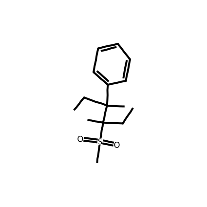 CCC(C)(c1ccccc1)C(C)(CC)S(C)(=O)=O